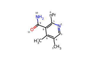 CCCc1ncc(C)c(C)c1C(N)=O